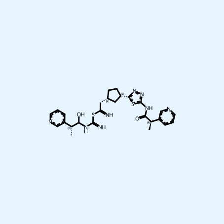 C[C@H](c1cccnc1)C(O)NC(=N)SC(=N)C[C@@H]1CC[C@H](c2nnc(NC(=O)[C@H](C)c3cccnc3)s2)C1